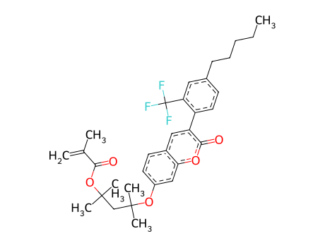 C=C(C)C(=O)OC(C)(C)CC(C)(C)Oc1ccc2cc(-c3ccc(CCCCC)cc3C(F)(F)F)c(=O)oc2c1